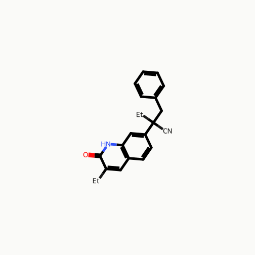 CCc1cc2ccc(C(C#N)(CC)Cc3ccccc3)cc2[nH]c1=O